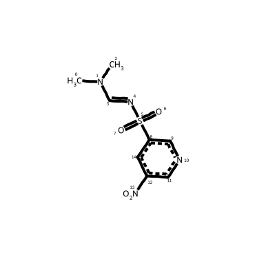 CN(C)C=NS(=O)(=O)c1cncc([N+](=O)[O-])c1